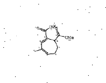 COC(=O)C1=CC(C)=CCCC1C(=O)OC